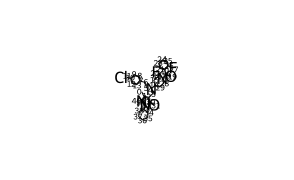 Cc1c(CN(CCc2ccc(Cl)cc2)C2CCN(C(=O)c3c(F)cccc3F)CC2)c(=O)n(C2CCCCC2)n1C